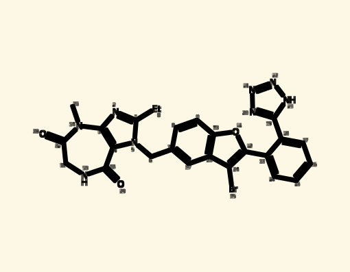 CCc1nc2c(n1Cc1ccc3oc(-c4ccccc4-c4nnn[nH]4)c(Br)c3c1)C(=O)NCC(=O)N2C